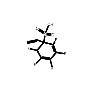 C=CC1(S(=O)(=O)O)C(F)=C(F)C(F)=C(F)C1F